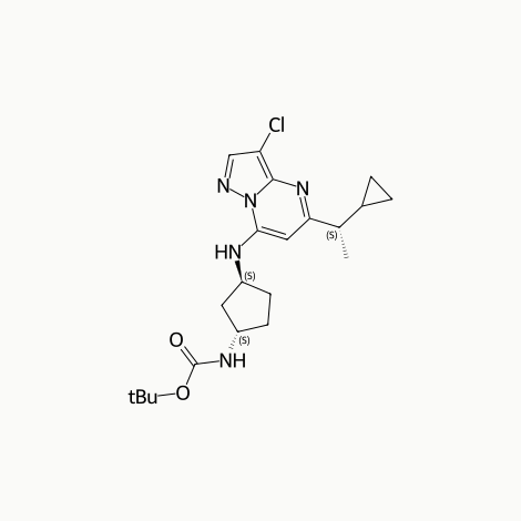 C[C@H](c1cc(N[C@H]2CC[C@H](NC(=O)OC(C)(C)C)C2)n2ncc(Cl)c2n1)C1CC1